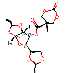 CC1OCC([C@H]2O[C@@H]3OC(C)O[C@@H]3[C@H]2OC(=O)C2(C)COC(=O)OC2)O1